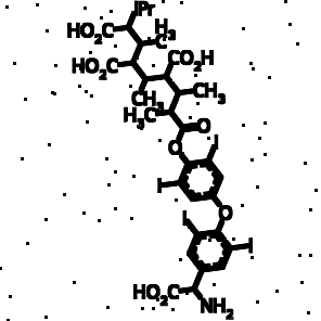 CC(C)C(C(=O)O)C(C)C(C(=O)O)C(C)C(C(=O)O)C(C)C(C)C(=O)Oc1c(I)cc(Oc2c(I)cc(C(N)C(=O)O)cc2I)cc1I